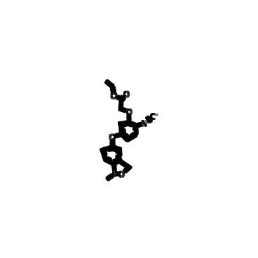 [C-]#[N+]c1ccc(Oc2ccc3c(c2)COB3C)cc1OCC(=O)OCC